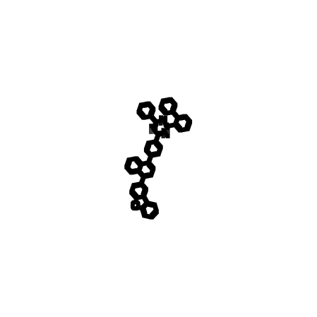 c1ccc(-c2nc(-c3ccc(-c4ccc(-c5ccc6oc7ccccc7c6c5)c5ccccc45)cc3)nc(-c3ccccc3-c3ccccc3)n2)cc1